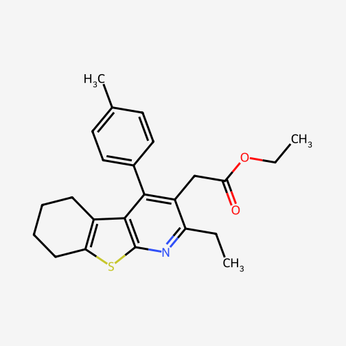 CCOC(=O)Cc1c(CC)nc2sc3c(c2c1-c1ccc(C)cc1)CCCC3